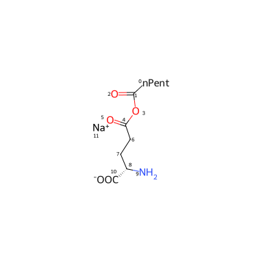 CCCCCC(=O)OC(=O)CC[C@H](N)C(=O)[O-].[Na+]